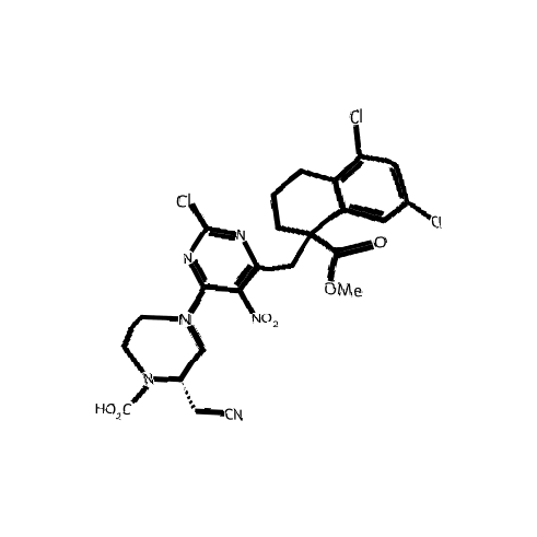 COC(=O)C1(Cc2nc(Cl)nc(N3CCN(C(=O)O)[C@@H](CC#N)C3)c2[N+](=O)[O-])CCCc2c(Cl)cc(Cl)cc21